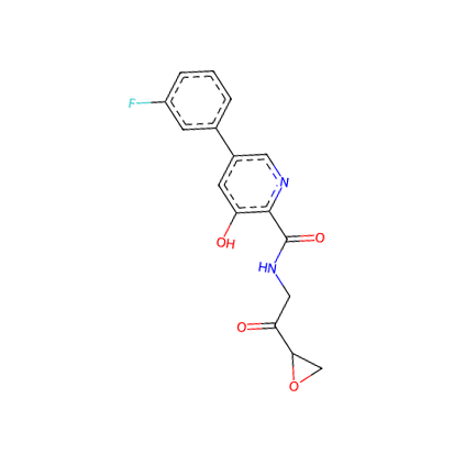 O=C(NCC(=O)C1CO1)c1ncc(-c2cccc(F)c2)cc1O